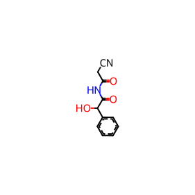 N#CCC(=O)NC(=O)C(O)c1ccccc1